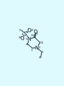 CCN1CCN(S(C)(=O)=O)C(=O)C1